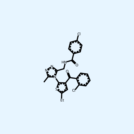 CCc1cc(C(=O)c2ccccc2Cl)c(-n2c(C)nnc2CNC(=O)c2ccc(Cl)cc2)s1